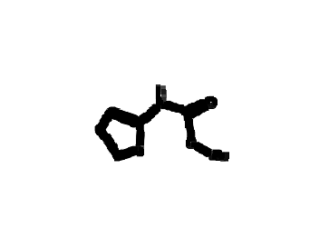 CC(C)(C)OC(=O)NC1=CCCS1